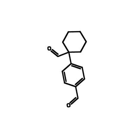 O=Cc1ccc(C2(C=O)CCCCC2)cc1